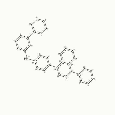 c1ccc(-c2cccc(Nc3ccc(-c4ccc(-c5ccccc5)c5ccccc45)cc3)c2)cc1